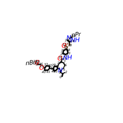 C=C(C)CN1CCCC(C(=O)Nc2ccc([S+]([O-])Cc3cnc(CCC)[nH]3)cc2)=Cc2cc(-c3ccc(OCCOCCCC)cc3)ccc21